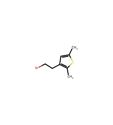 Cc1cc(CCBr)c(C)s1